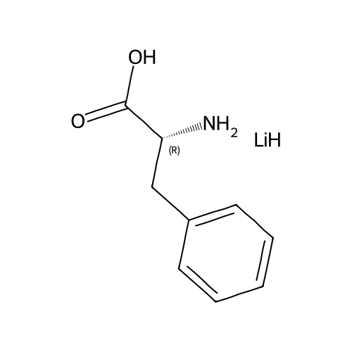 N[C@H](Cc1ccccc1)C(=O)O.[LiH]